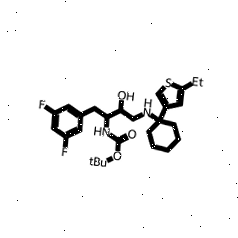 CCc1cc(C2(NCC(O)C(Cc3cc(F)cc(F)c3)NC(=O)OC(C)(C)C)CCCCC2)cs1